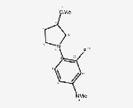 CNc1ccc(N2CCC(OC)C2)c(F)c1